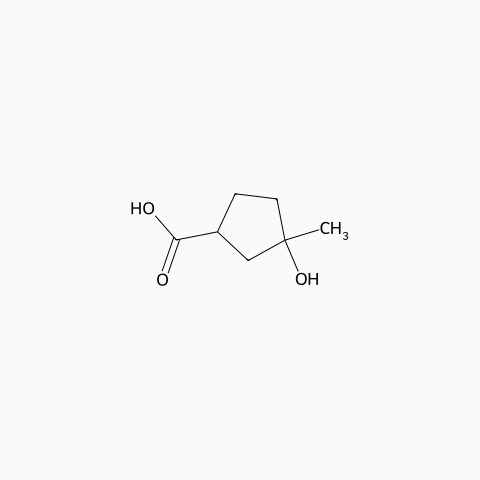 CC1(O)CCC(C(=O)O)C1